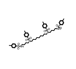 Cc1ccc(S(=O)(=O)NCCCCN(CCCCCCCCCN(CCCCNS(=O)(=O)c2ccc(C)cc2)S(=O)(=O)c2ccc(C)cc2)S(=O)(=O)c2ccc(C)cc2)cc1